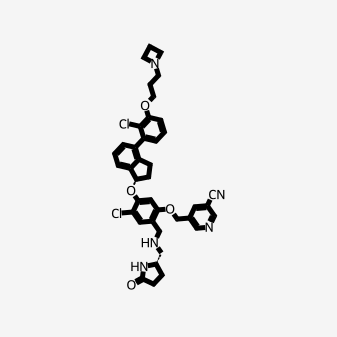 N#Cc1cncc(COc2cc(O[C@H]3CCc4c(-c5cccc(OCCCN6CCC6)c5Cl)cccc43)c(Cl)cc2CNC[C@@H]2CCC(=O)N2)c1